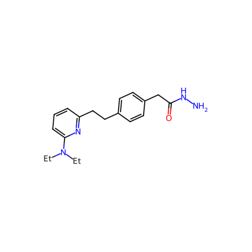 CCN(CC)c1cccc(CCc2ccc(CC(=O)NN)cc2)n1